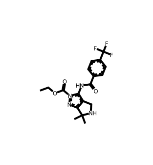 CCOC(=O)n1nc2c(c1NC(=O)c1ccc(C(F)(F)F)cc1)CNC2(C)C